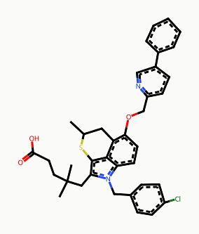 CC1Cc2c(OCc3ccc(-c4ccccc4)cn3)ccc3c2c(c(CC(C)(C)CCC(=O)O)n3Cc2ccc(Cl)cc2)S1